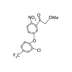 COCC(=O)c1cc(Oc2ccc(C(F)(F)F)cc2Cl)ccc1[N+](=O)[O-]